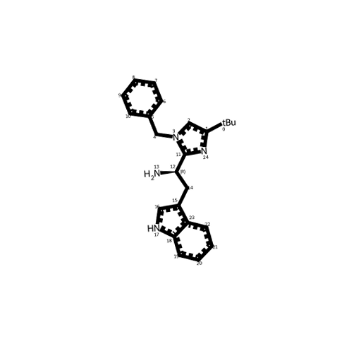 CC(C)(C)c1cn(Cc2ccccc2)c([C@H](N)Cc2c[nH]c3ccccc23)n1